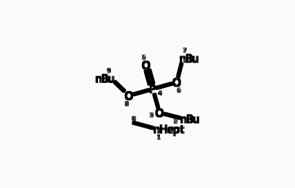 CCCCCCCC.CCCCOP(=O)(OCCCC)OCCCC